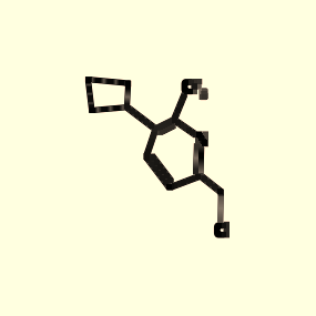 FC(F)(F)c1nc(CCl)ccc1C1CCC1